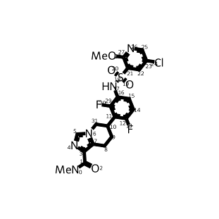 CNC(=O)c1ncn2c1CCC(c1c(F)ccc(NS(=O)(=O)c3cc(Cl)cnc3OC)c1F)C2